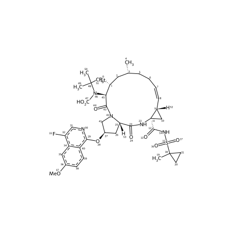 CC[C@@H]1C[C@H](C)CC/C=C\[C@@H]2C[C@@]2(C(=O)NS(=O)(=O)C2(C)CC2)NC(=O)[C@@H]2C[C@@H](Oc3ncc(F)c4cc(OC)ccc34)CN2C(=O)[C@H]1N(C(=O)O)C(C)(C)C(F)(F)F